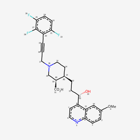 COc1ccc2nccc([C@@H](O)CC[C@@H]3CCN(CC#Cc4c(F)ccc(F)c4F)C[C@@H]3C(=O)O)c2c1